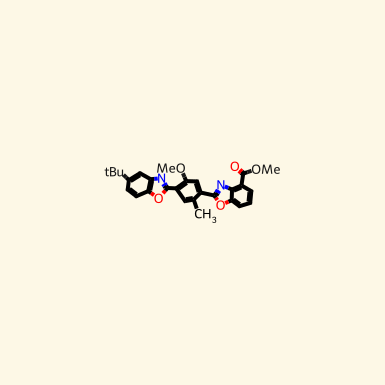 COC(=O)c1cccc2oc(-c3cc(OC)c(-c4nc5cc(C(C)(C)C)ccc5o4)cc3C)nc12